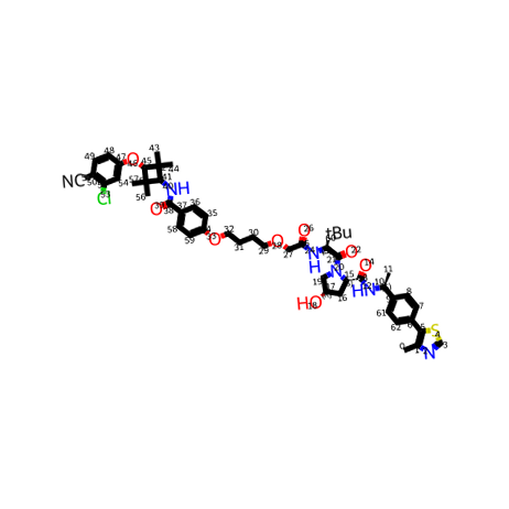 Cc1ncsc1-c1ccc([C@H](C)NC(=O)[C@@H]2C[C@@H](O)CN2C(=O)[C@@H](NC(=O)COCCCCOc2ccc(C(=O)NC3C(C)(C)C(Oc4ccc(C#N)c(Cl)c4)C3(C)C)cc2)C(C)(C)C)cc1